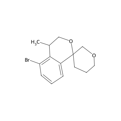 CC1COC2(CCCOC2)c2cccc(Br)c21